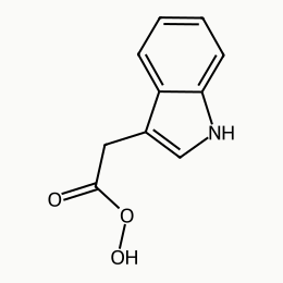 O=C(Cc1c[nH]c2ccccc12)OO